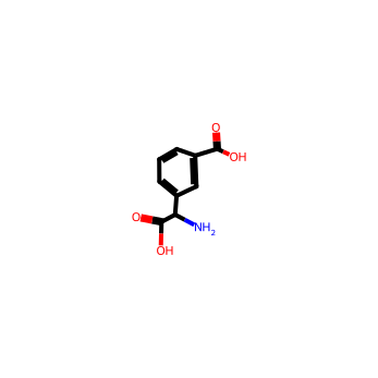 NC(C(=O)O)c1cccc(C(=O)O)c1